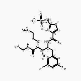 COCCS[C@@H](C(=O)NCC(C)C)[C@H](O)[C@H](Cc1cc(F)cc(F)c1)NC(=O)c1csc(NS(C)(=O)=O)n1